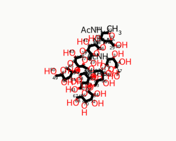 CC(=O)NC1C(O)[C@H](O)[C@H](CO)O[C@H]1OC1[C@@H](OCC2O[C@@H](O[C@@H]3C(CO)O[C@@H](O[C@@H]4C(CO)O[C@@H](C)C(NC(C)=O)[C@H]4O)C(NC(C)=O)[C@H]3O)C(O)[C@@H](O[C@H]3OC(CO)[C@@H](O)C(O)C3O[C@@H]3OC(CO)[C@@H](O[C@@H]4OC(CO)[C@H](O)[C@H](O)C4O)[C@H](O)C3NC(C)=O)[C@@H]2O)OC(CO)[C@@H](O)[C@@H]1O